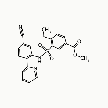 CCc1ccc(C(=O)OC)cc1S(=O)(=O)Nc1cc(C#N)ccc1-c1ccccn1